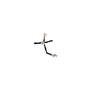 CCC[CH2][Sn]([CH3])([CH3])[Br]